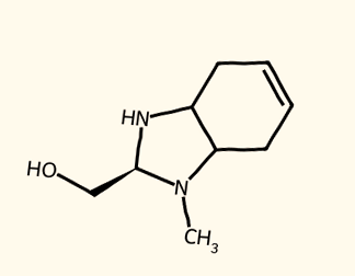 CN1C2CC=CCC2N[C@@H]1CO